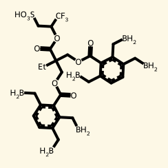 BCc1ccc(CB)c(C(=O)OCC(CC)(COC(=O)c2c(CB)ccc(CB)c2CB)C(=O)OC(CS(=O)(=O)O)C(F)(F)F)c1CB